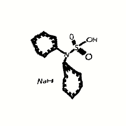 O=S(=O)(O)N(c1ccccc1)c1ccccc1.[NaH]